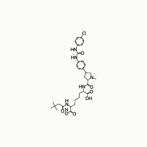 CN1CC(c2ccc(NC(=O)Nc3ccc(Cl)cc3)cc2)CC1C(=O)NC(CCCCC(NC(=O)CC(C)(C)C)C(=O)O)C(=O)O